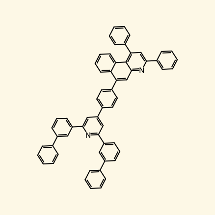 c1ccc(-c2cccc(-c3cc(-c4ccc(-c5cc6nc(-c7ccccc7)cc(-c7ccccc7)c6c6ccccc56)cc4)cc(-c4cccc(-c5ccccc5)c4)n3)c2)cc1